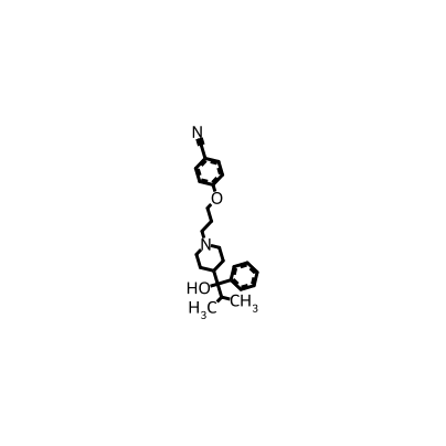 CC(C)C(O)(c1ccccc1)C1CCN(CCCOc2ccc(C#N)cc2)CC1